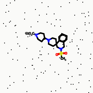 CCOC(=O)N1CCC(N2CCC3(CC2)CN(S(C)(=O)=O)Cc2ccccc23)CC1